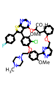 COc1ccccc1-c1nccc(COc2ccccc2CC(Oc2ncnc3sc(-c4ccc(F)cc4)c(-c4ccc(OCCN5CCN(C)CC5)c(Cl)c4OC)c23)C(=O)O)n1